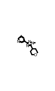 Cn1nc(-c2c[c]cnc2)nc1C1CCOCC1